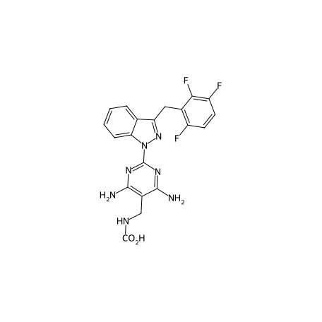 Nc1nc(-n2nc(Cc3c(F)ccc(F)c3F)c3ccccc32)nc(N)c1CNC(=O)O